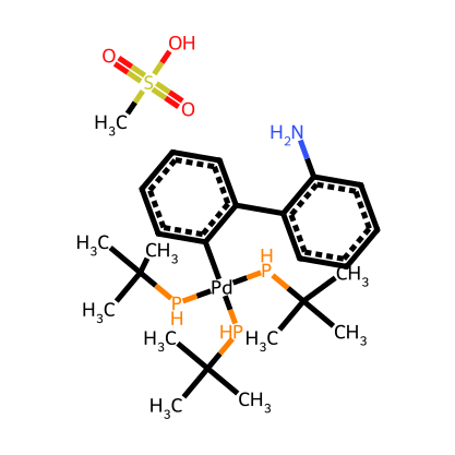 CC(C)(C)[PH][Pd]([PH]C(C)(C)C)([PH]C(C)(C)C)[c]1ccccc1-c1ccccc1N.CS(=O)(=O)O